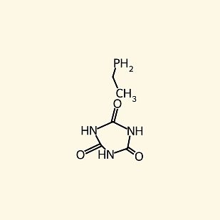 CCP.O=c1[nH]c(=O)[nH]c(=O)[nH]1